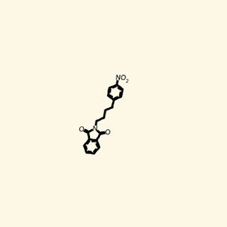 O=C1c2ccccc2C(=O)N1CCCCc1ccc([N+](=O)[O-])cc1